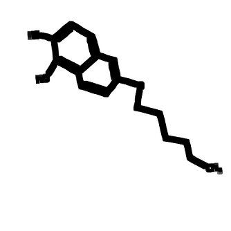 CCCCCCOc1ccc2c(O)c(S)ccc2c1